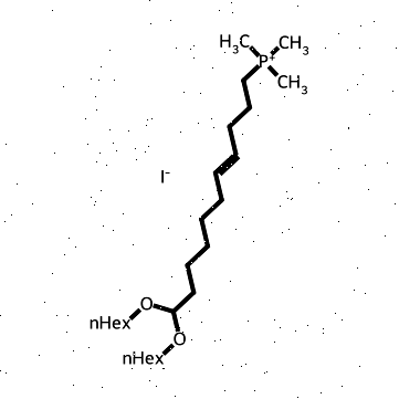 CCCCCCOC(CCCCC/C=C/CCC[P+](C)(C)C)OCCCCCC.[I-]